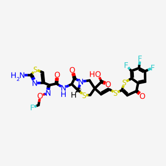 Nc1nc(C(=NOCF)C(=O)NC2C(=O)N3CC(C=CSc4cc(=O)c5cc(F)c(F)c(F)c5s4)(C(=O)O)CS[C@H]23)cs1